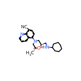 C[C@@H]1CN(c2ccc(C#N)c3ncccc23)C[C@@H](CNC2CCCCCC2)O1